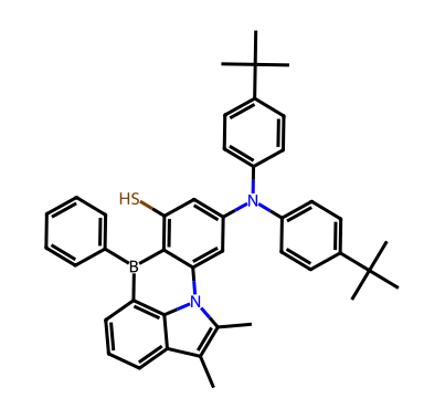 Cc1c(C)n2c3c(cccc13)B(c1ccccc1)c1c(S)cc(N(c3ccc(C(C)(C)C)cc3)c3ccc(C(C)(C)C)cc3)cc1-2